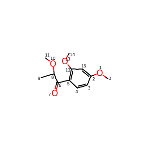 COc1ccc(C(=O)C(C)OC)c(OC)c1